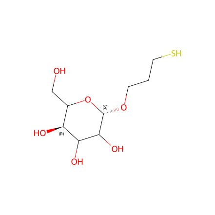 OCC1O[C@H](OCCCS)C(O)C(O)[C@H]1O